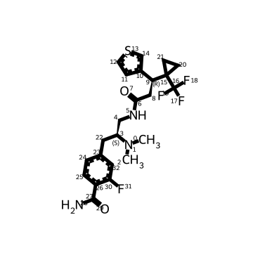 CN(C)[C@H](CNC(=O)C[C@@H](c1ccsc1)C1(C(F)(F)F)CC1)Cc1ccc(C(N)=O)c(F)c1